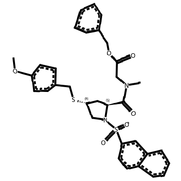 COc1ccc(CS[C@@H]2C[C@@H](C(=O)N(C)CC(=O)OCc3ccccc3)N(S(=O)(=O)c3ccc4ccccc4c3)C2)cc1